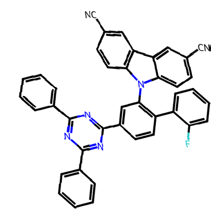 N#Cc1ccc2c(c1)c1cc(C#N)ccc1n2-c1cc(-c2nc(-c3ccccc3)nc(-c3ccccc3)n2)ccc1-c1ccccc1F